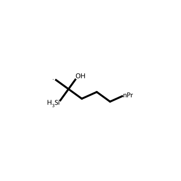 [CH2]C(O)([SiH3])CCCCCC